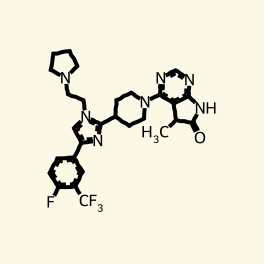 CC1C(=O)Nc2ncnc(N3CCC(c4nc(-c5ccc(F)c(C(F)(F)F)c5)cn4CCN4CCCC4)CC3)c21